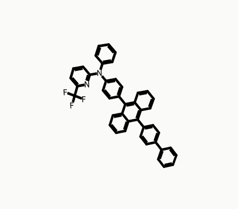 FC(F)(F)c1cccc(N(c2ccccc2)c2ccc(-c3c4ccccc4c(-c4ccc(-c5ccccc5)cc4)c4ccccc34)cc2)n1